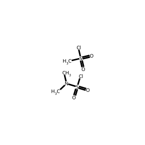 CN(C)S(=O)(=O)Cl.CS(=O)(=O)Cl